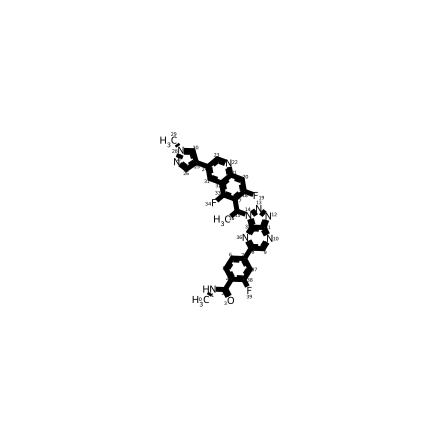 CNC(=O)c1ccc(-c2cnc3nnn(C(C)c4c(F)cc5ncc(-c6cnn(C)c6)cc5c4F)c3n2)cc1F